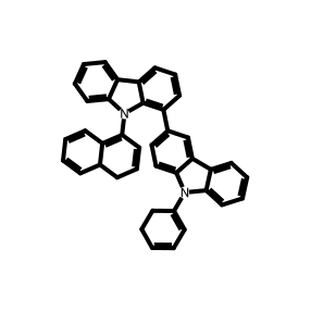 C1=CCCC(n2c3ccccc3c3cc(-c4cccc5c6ccccc6n(C6=C7C=CC=CC7CC=C6)c45)ccc32)=C1